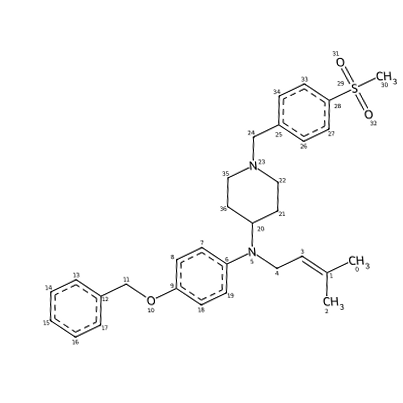 CC(C)=CCN(c1ccc(OCc2ccccc2)cc1)C1CCN(Cc2ccc(S(C)(=O)=O)cc2)CC1